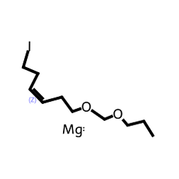 CCCOCOCC/C=C\CCI.[Mg]